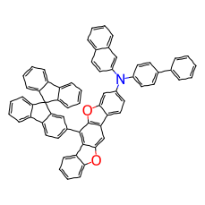 c1ccc(-c2ccc(N(c3ccc4ccccc4c3)c3ccc4c(c3)oc3c(-c5ccc6c(c5)C5(c7ccccc7-c7ccccc75)c5ccccc5-6)c5c(cc34)oc3ccccc35)cc2)cc1